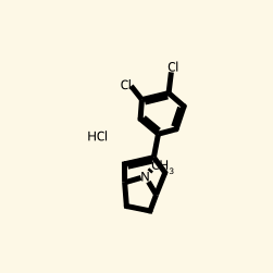 CN1C2C=C(c3ccc(Cl)c(Cl)c3)CC1CC2.Cl